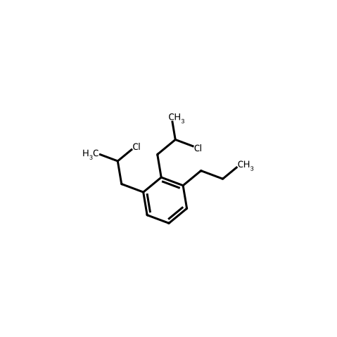 CCCc1cccc(CC(C)Cl)c1CC(C)Cl